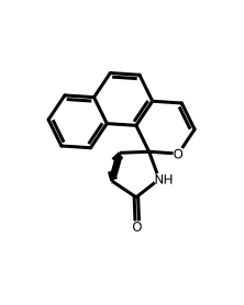 O=C1NC2(OC=Cc3ccc4ccccc4c32)c2ccccc21